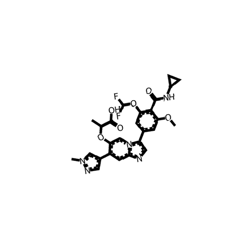 COc1cc(-c2cnc3cc(-c4cnn(C)c4)c(OC(C)C(=O)O)cn23)cc(OC(F)F)c1C(=O)NC1CC1